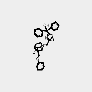 OC(c1ccccc1)(c1ccccc1)c1noc(C[N+]23CCC(CC2)[C@H](COc2ccccc2)C3)n1